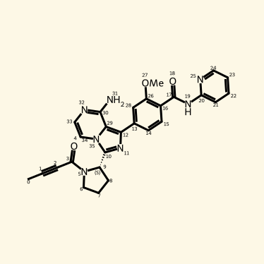 CC#CC(=O)N1CCC[C@H]1c1nc(-c2ccc(C(=O)Nc3ccccn3)c(OC)c2)c2c(N)nccn12